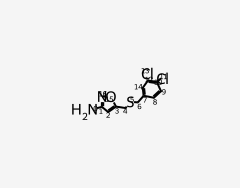 Nc1cc(CSCc2ccc(Cl)c(Cl)c2)on1